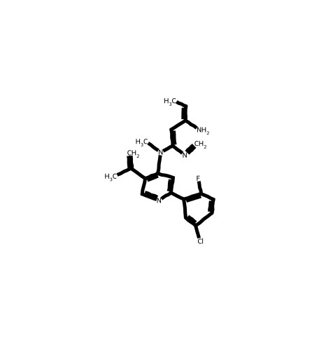 C=N/C(=C\C(N)=C/C)N(C)c1cc(-c2cc(Cl)ccc2F)ncc1C(=C)C